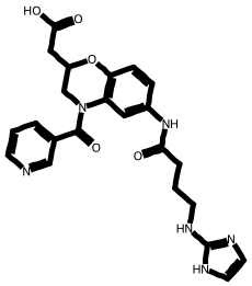 O=C(O)CC1CN(C(=O)c2cccnc2)c2cc(NC(=O)CCCNc3ncc[nH]3)ccc2O1